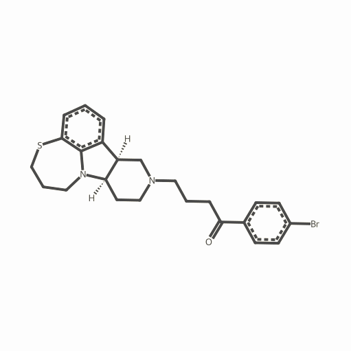 O=C(CCCN1CC[C@@H]2[C@H](C1)c1cccc3c1N2CCCS3)c1ccc(Br)cc1